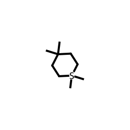 CC1(C)CCS(C)(C)CC1